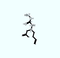 C=CCCN(CC(=C)C)NC(=O)OCCCC